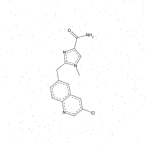 Cn1cc(C(N)=O)nc1Cc1ccc2ncc(Cl)cc2c1